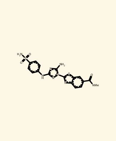 CNC(=O)c1ccc2nc(-n3nc(Nc4ccc(S(N)(=O)=O)cc4)nc3N)sc2c1